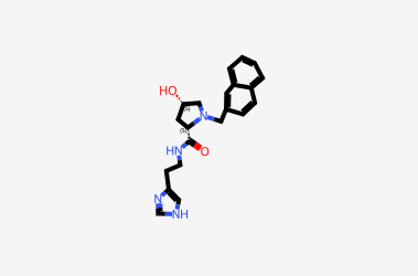 O=C(NCCc1c[nH]cn1)[C@@H]1C[C@H](O)CN1Cc1ccc2ccccc2c1